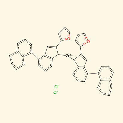 C1=C(c2ccco2)[CH]([Zr+2][CH]2C(c3ccco3)=Cc3c(-c4cccc5ccccc45)cccc32)c2cccc(-c3cccc4ccccc34)c21.[Cl-].[Cl-]